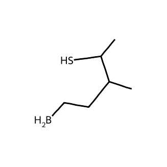 BCCC(C)C(C)S